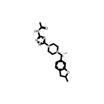 CC(=O)Nc1nnc(N2CCN([C@H](C)c3ccc4c(c3)OC(C)C4)CC2)s1